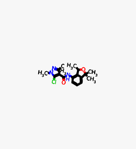 Cc1nn(C)c(Cl)c1C(=O)Nc1cccc2c1C(C)OC2(C)C